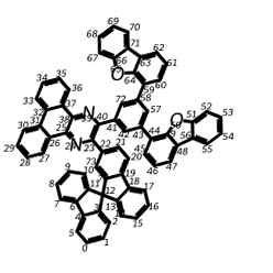 c1ccc2c(c1)-c1ccccc1C21c2ccccc2-c2ccc(-c3nc4c5ccccc5c5ccccc5c4nc3-c3cc(-c4cccc5c4oc4ccccc45)cc(-c4cccc5c4oc4ccccc45)c3)cc21